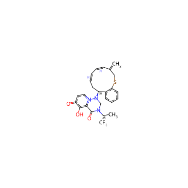 C=C1/C=C\C=C/C[C@H](N2CN([C@H](C)C(F)(F)F)C(=O)c3c(O)c(=O)ccn32)c2ccccc2SC1